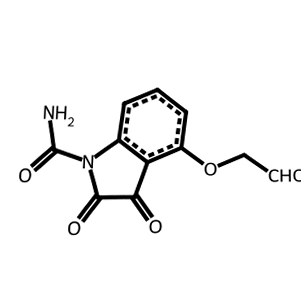 NC(=O)N1C(=O)C(=O)c2c(OC[C]=O)cccc21